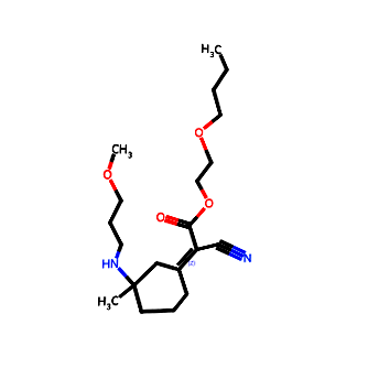 CCCCOCCOC(=O)/C(C#N)=C1/CCCC(C)(NCCCOC)C1